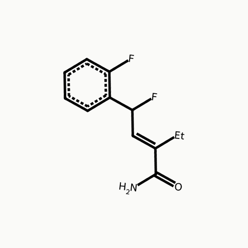 CC/C(=C\C(F)c1ccccc1F)C(N)=O